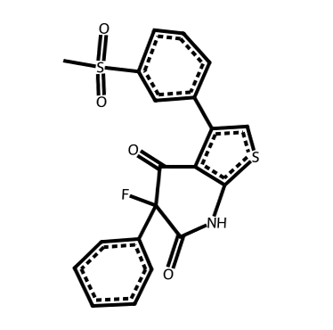 CS(=O)(=O)c1cccc(-c2csc3c2C(=O)C(F)(c2ccccc2)C(=O)N3)c1